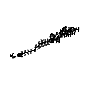 CCCCCCCCCCCCCCCCCCOC(=O)CNC[C@H](O)[C@@H](O)[C@H](O)[C@H](O)CO